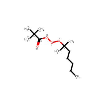 CCCCCC(C)(C)OOOC(=O)C(C)(C)C